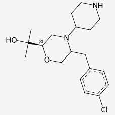 CC(C)(O)[C@H]1CN(C2CCNCC2)C(Cc2ccc(Cl)cc2)CO1